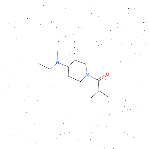 CCN(C)C1CCN(C(=O)C(C)C)CC1